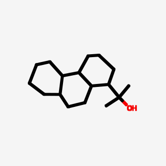 CC(C)(O)C1CCCC2C3CCCCC3CCC21